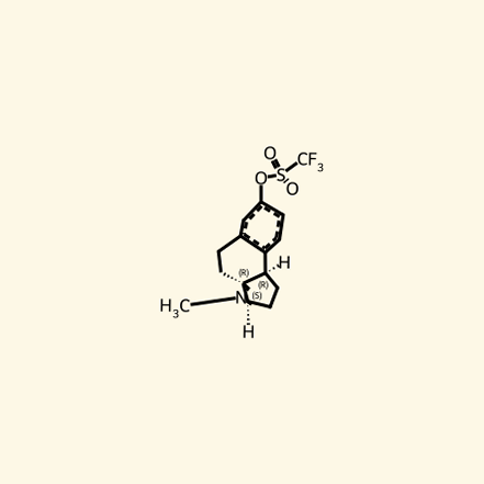 CN1C[C@H]2CC[C@@H]3c4ccc(OS(=O)(=O)C(F)(F)F)cc4CC[C@]23C1